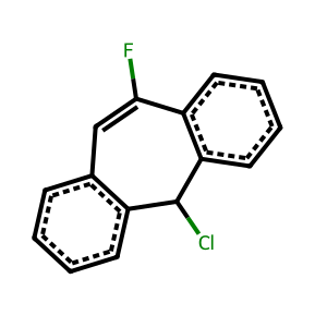 FC1=Cc2ccccc2C(Cl)c2ccccc21